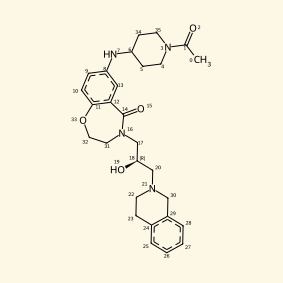 CC(=O)N1CCC(Nc2ccc3c(c2)C(=O)N(C[C@H](O)CN2CCc4ccccc4C2)CCO3)CC1